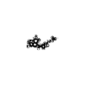 COc1cc2c(c(OC)c1OC)-c1ccc(SC)c(=O)cc1[C@@H](NC(=O)c1cccc(OC(=O)CCCO[N+](=O)[O-])c1)CC2